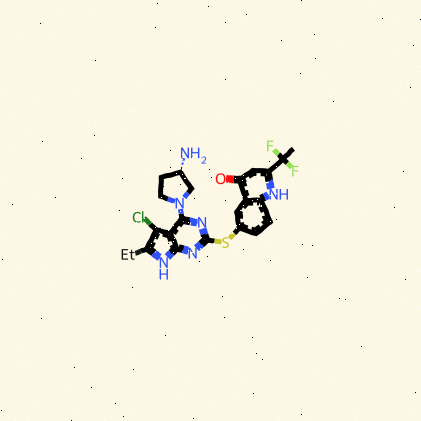 CCc1[nH]c2nc(Sc3ccc4[nH]c(C(C)(F)F)cc(=O)c4c3)nc(N3CC[C@H](N)C3)c2c1Cl